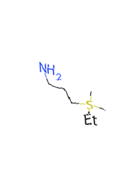 CCS(C)(C)CCCN